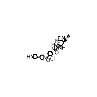 O=C(Nc1ccc(C(=O)N2CCC(C3CCNCC3)CC2)c(Cl)c1)c1ncc(Cc2cn(C3CC3)nc2C(F)(F)F)[nH]1